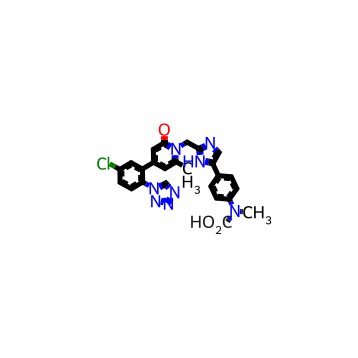 Cc1cc(-c2cc(Cl)ccc2-n2cnnn2)cc(=O)n1Cc1ncc(-c2ccc(N(C)C(=O)O)cc2)[nH]1